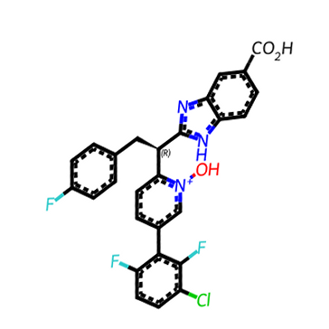 O=C(O)c1ccc2[nH]c([C@H](Cc3ccc(F)cc3)c3ccc(-c4c(F)ccc(Cl)c4F)c[n+]3O)nc2c1